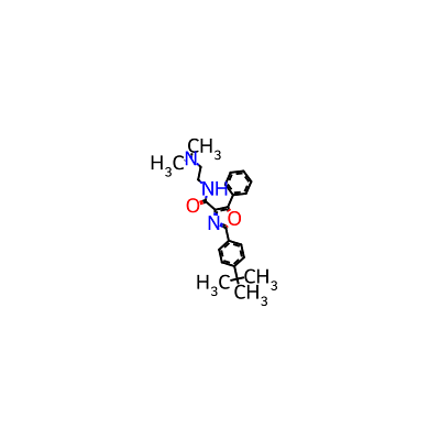 CN(C)CCNC(=O)c1nc(-c2ccc(C(C)(C)C)cc2)oc1-c1ccccc1